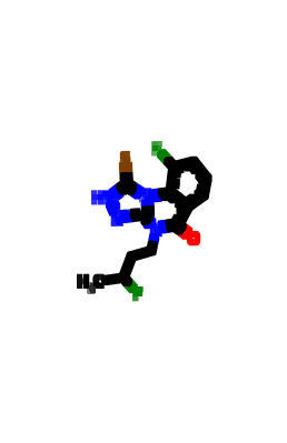 CC(F)CCn1c(=O)c2cccc(F)c2n2c(=S)[nH]nc12